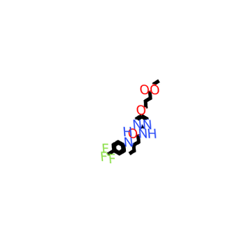 CCOC(=O)CCCOc1cnc(NC(=O)CC(CC)Nc2ccc(C(F)(F)F)cc2)nc1